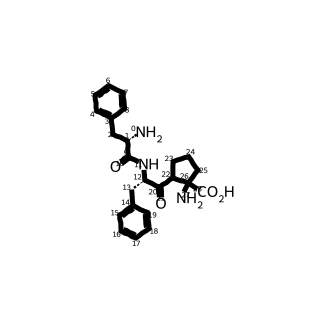 N[C@@H](Cc1ccccc1)C(=O)N[C@@H](Cc1ccccc1)C(=O)C1CCCC1(N)C(=O)O